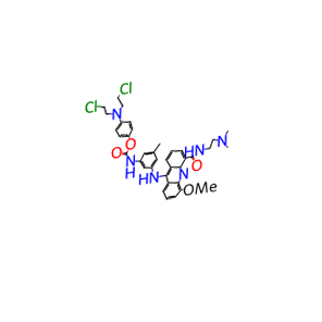 COc1cccc2c(Nc3cc(C)cc(NC(=O)Oc4ccc(N(CCCl)CCCl)cc4)c3)c3cccc(C(=O)NCCN(C)C)c3nc12